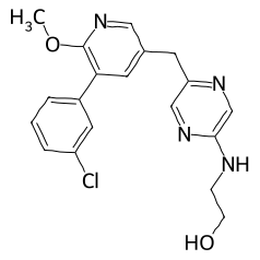 COc1ncc(Cc2cnc(NCCO)cn2)cc1-c1cccc(Cl)c1